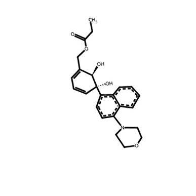 CCC(=O)OCC1=CC=C[C@](O)(c2ccc(N3CCOCC3)c3ccccc23)[C@@H]1O